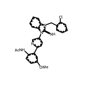 COc1ccc(NC(C)=O)c(-c2ccc(-n3c(=N)n(Cc4ccccc4Cl)c4ccccc43)cn2)c1